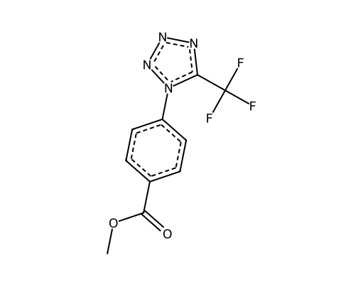 COC(=O)c1ccc(-n2nnnc2C(F)(F)F)cc1